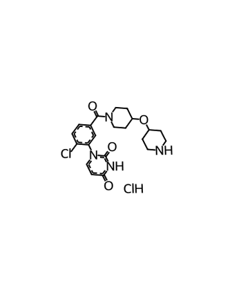 Cl.O=C(c1ccc(Cl)c(-n2ccc(=O)[nH]c2=O)c1)N1CCC(OC2CCNCC2)CC1